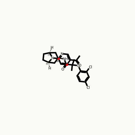 CC(=O)c1ccc(N2[C@@H]3CC[C@H]2C[C@@H](NC(=O)C(C)(C)Oc2ccc(Cl)cc2Cl)C3)nc1